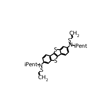 C=CSN(c1ccc2c(c1)sc1c3ccc(N(SC=C)C(C)CCC)cc3sc21)C(C)CCC